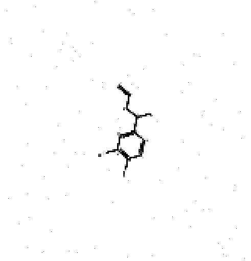 [CH2]C(CC=C)c1ccc(F)c(F)c1